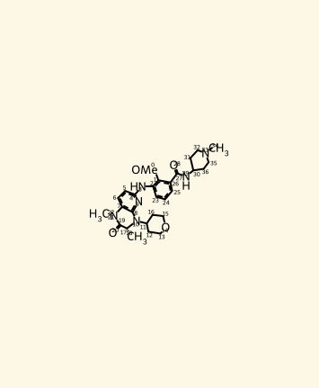 COc1c(Nc2ccc3c(n2)N(C2CCOCC2)[C@H](C)C(=O)N3C)cccc1C(=O)NC1CCN(C)CC1